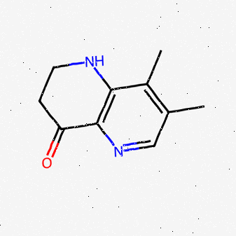 Cc1cnc2c(c1C)NCCC2=O